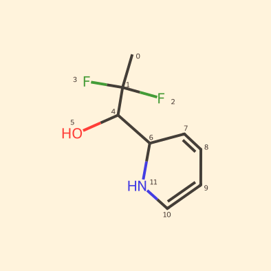 CC(F)(F)C(O)C1C=CC=CN1